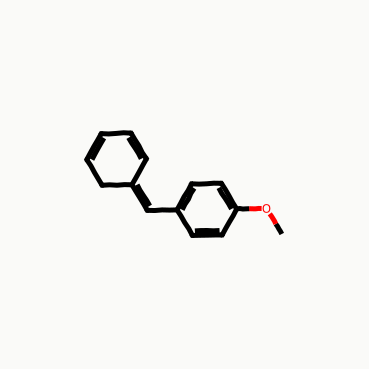 COc1ccc(C=C2C=CC=CC2)cc1